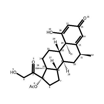 CC(=O)O[C@@]1(C(=O)CO)CC[C@H]2[C@@H]3C[C@H](C)C4=CC(=O)C=C(O)[C@]4(C)[C@H]3CC[C@@]21C